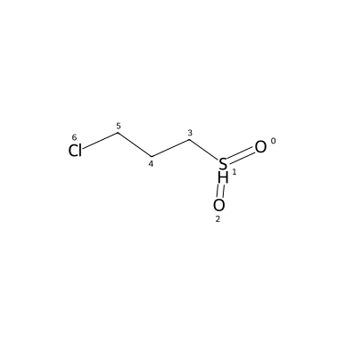 O=[SH](=O)CCCCl